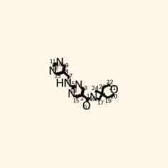 O=C(c1cnc(NCc2cncnc2)nc1)N1CC2(CCOCC2)C1